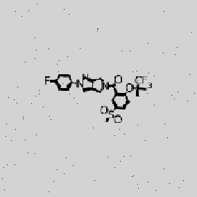 CC(C)(Oc1ccc(S(C)(=O)=O)cc1C(=O)N1Cc2cn(-c3ccc(F)cc3)nc2C1)C(F)(F)F